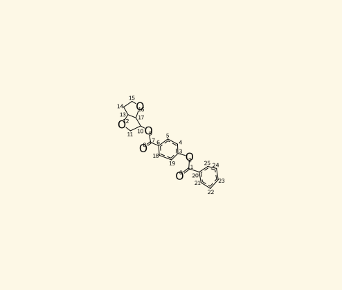 O=C(Oc1ccc(C(=O)OC2COC3CCOC32)cc1)c1ccccc1